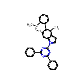 Cc1c(-c2ccccc2[SiH](C)C)ccc2c1ccn2-c1nc(-c2ccccc2)nc(-c2ccccc2)n1